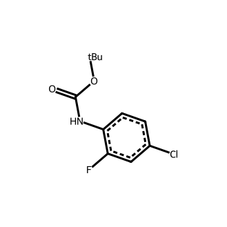 CC(C)(C)OC(=O)Nc1ccc(Cl)cc1F